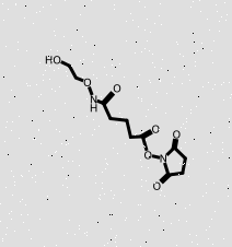 O=C(CCCC(=O)ON1C(=O)CCC1=O)NOCCO